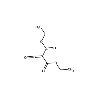 CCOC(=O)C(=C=O)C(=O)OCC